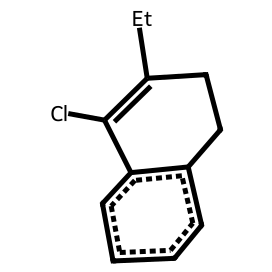 CCC1=C(Cl)c2ccccc2CC1